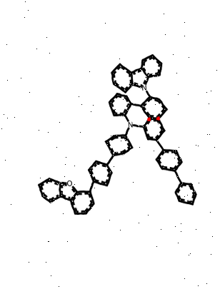 c1ccc(-c2ccc(-c3cccc(N(c4ccc(-c5ccc(-c6cccc7c6oc6ccccc67)cc5)cc4)c4ccccc4-c4ccccc4-n4c5ccccc5c5ccccc54)c3)cc2)cc1